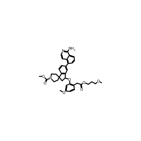 COCCCOC(=O)Cc1ccc(OC)cc1OC1CC2(CCN(C(=O)OC)CC2)c2ccc(-c3cccc4c(N)nccc34)cc21